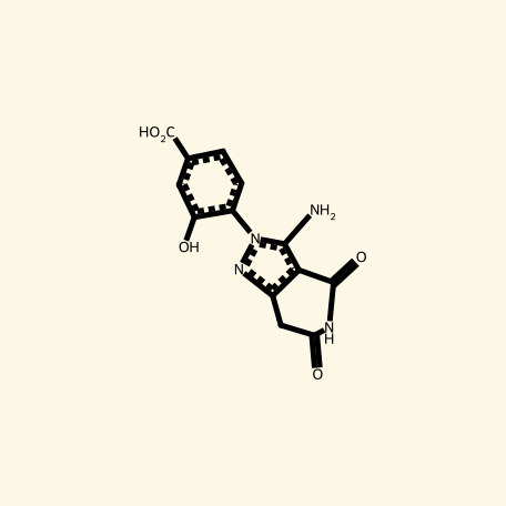 Nc1c2c(nn1-c1ccc(C(=O)O)cc1O)CC(=O)NC2=O